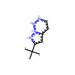 CC(C)(C)c1cc2ccnnn2n1